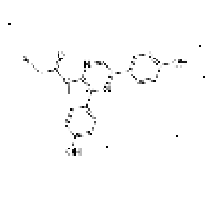 CC(C)CC(=O)Nc1ncc(-c2ccc(O)cc2)nc1-c1ccc(O)cc1